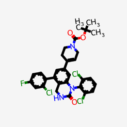 CC(C)(C)OC(=O)N1CC=C(c2cc(-c3ccc(F)cc3Cl)c3c(c2)N(c2c(Cl)cccc2Cl)C(=O)NC3)CC1